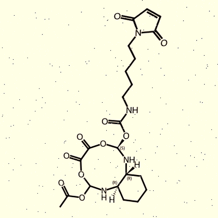 CC(=O)OC1N[C@@H]2CCCC[C@H]2N[C@H](OC(=O)NCCCCCN2C(=O)C=CC2=O)OC(=O)C(=O)O1